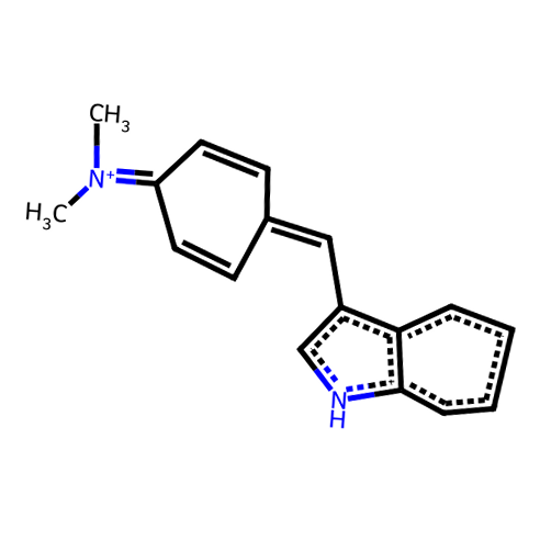 C[N+](C)=C1C=CC(=Cc2c[nH]c3ccccc23)C=C1